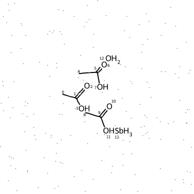 CC(=O)O.CC(=O)O.CC(=O)O.O.[SbH3]